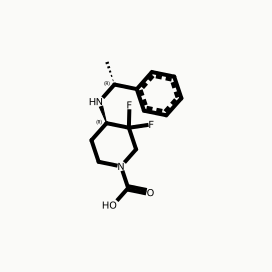 C[C@@H](N[C@@H]1CCN(C(=O)O)CC1(F)F)c1ccccc1